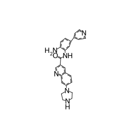 Nc1ccc(-c2ccncc2)cc1NC(=O)c1cnc2cc(N3CCNCC3)ccc2c1